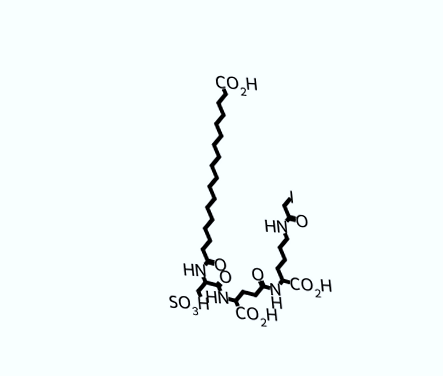 O=C(O)CCCCCCCCCCCCCCCCC(=O)NC(CS(=O)(=O)O)C(=O)NC(CCC(=O)NC(CCCCNC(=O)CI)C(=O)O)C(=O)O